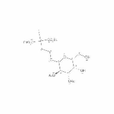 CCOC(=O)C(F)(CCOC1O[C@H](CO)[C@H](O)[C@H](OC(C)=O)[C@H]1OC(C)=O)C(=O)OCC